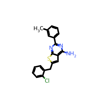 Cc1cccc(-c2nc(N)c3cc(Cc4ccccc4Cl)sc3n2)c1